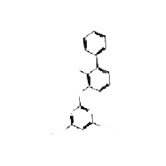 COc1cc(OC)nc(Oc2cccc(-c3ccccc3)c2C(=O)O)n1